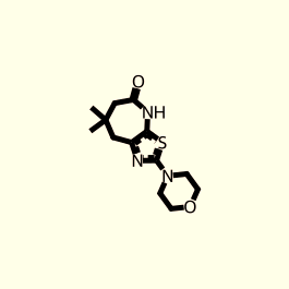 CC1(C)CC(=O)Nc2sc(N3CCOCC3)nc2C1